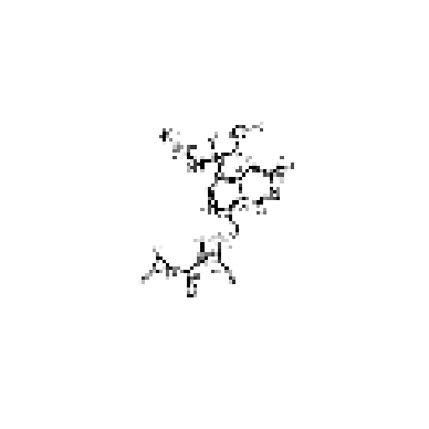 COC[C@@](C)(N=[N+]=[N-])c1cnc(O[C@H]2CN(C(=O)C3CC3)[C@@H]2C)c2cnc(Cl)cc12